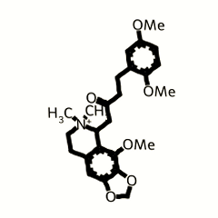 COc1ccc(OC)c(CCC(=O)CC2c3c(cc4c(c3OC)OCO4)CC[N+]2(C)C)c1